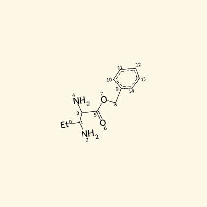 CCC(N)C(N)C(=O)OCc1ccccc1